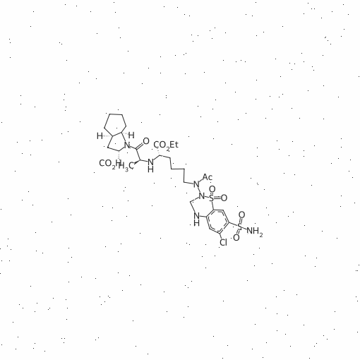 CCOC(=O)[C@H](CCCCN(C(C)=O)N1CNc2cc(Cl)c(S(N)(=O)=O)cc2S1(=O)=O)N[C@@H](C)C(=O)N1[C@@H]2CCCC[C@@H]2C[C@H]1C(=O)O